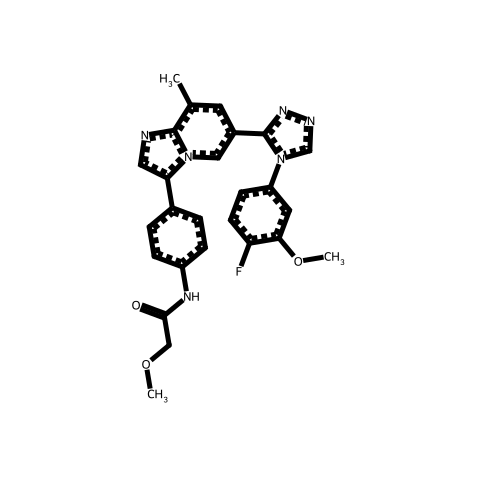 COCC(=O)Nc1ccc(-c2cnc3c(C)cc(-c4nncn4-c4ccc(F)c(OC)c4)cn23)cc1